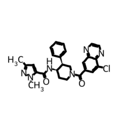 Cc1cc(C(=O)N[C@@H]2CCN(C(=O)c3cc(Cl)c4nccnc4c3)C[C@@H]2c2ccccc2)n(C)n1